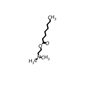 CCCCCCCC(=O)OCCN(C)C